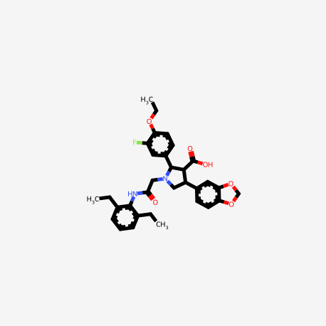 CCOc1ccc(C2C(C(=O)O)C(c3ccc4c(c3)OCO4)CN2CC(=O)Nc2c(CC)cccc2CC)cc1F